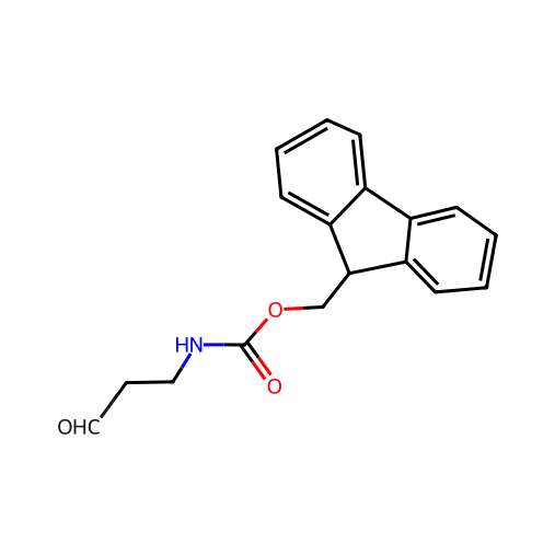 O=CCCNC(=O)OCC1c2ccccc2-c2ccccc21